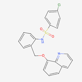 O=S(=O)(Nc1ccccc1COc1cccc2cccnc12)c1ccc(Cl)cc1